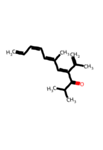 C=C\C=C/C=C(C)/C=C(\C(=C)C)C(=O)C(C)C